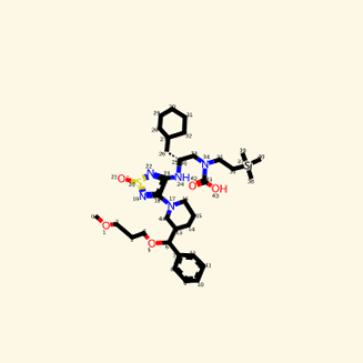 COCCCOC(c1ccccc1)C1CCCN(c2n[s+]([O-])nc2N[C@H](CC2CCCCC2)CN(CC[Si](C)(C)C)C(=O)O)C1